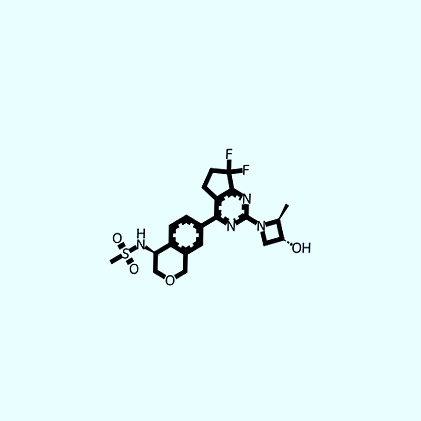 C[C@H]1[C@H](O)CN1c1nc(-c2ccc3c(c2)COC[C@H]3NS(C)(=O)=O)c2c(n1)C(F)(F)CC2